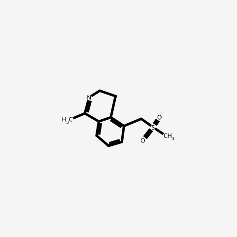 CC1=NCCc2c(CS(C)(=O)=O)cccc21